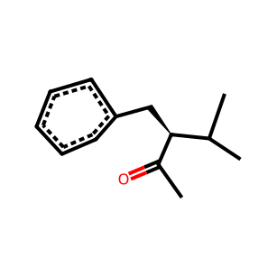 CC(=O)[C@@H](Cc1ccccc1)C(C)C